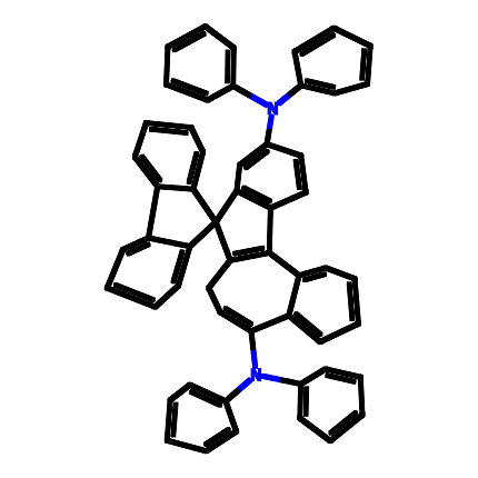 C1=C(N(c2ccccc2)c2ccccc2)c2ccccc2C2=C(C1)C1(c3cc(N(c4ccccc4)c4ccccc4)ccc32)c2ccccc2-c2ccccc21